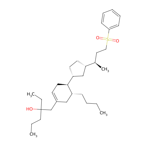 CCCC[C@@H]1CC(CC(O)(CC)CCC)=CC[C@H]1[C@@H]1CC[C@H]([C@H](C)CCS(=O)(=O)c2ccccc2)C1